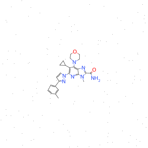 Cc1cccc(-c2ccn(-c3nc4c(nc(C(N)=O)n4C)c(N4CCOCC4)c3C3CC3)n2)c1